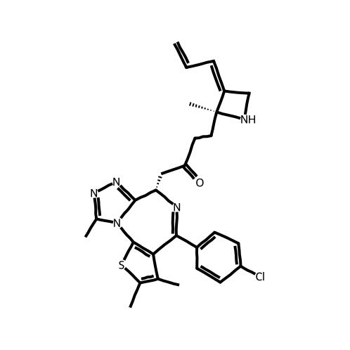 C=C/C=C1/CN[C@@]1(C)CCC(=O)C[C@@H]1N=C(c2ccc(Cl)cc2)c2c(sc(C)c2C)-n2c(C)nnc21